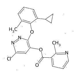 Cc1cccc(C2CC2)c1Oc1nnc(Cl)cc1OC(=O)c1cccnc1C